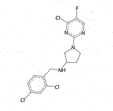 Fc1cnc(N2CCC(NCc3ccc(Cl)cc3Cl)C2)nc1Cl